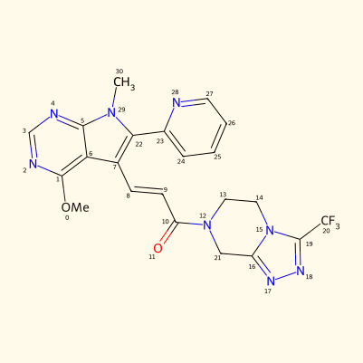 COc1ncnc2c1c(/C=C/C(=O)N1CCn3c(nnc3C(F)(F)F)C1)c(-c1ccccn1)n2C